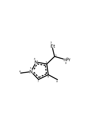 CCCC(CC)c1nn(C)cc1C